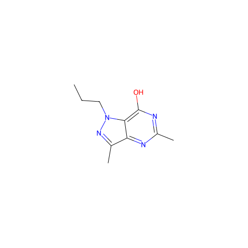 CCCn1nc(C)c2nc(C)nc(O)c21